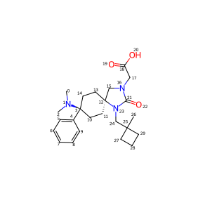 CN(C)[C@]1(c2ccccc2)CC[C@]2(CC1)CN(CC(=O)O)C(=O)N2CC1(C)CCC1